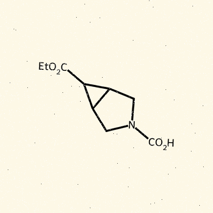 CCOC(=O)C1C2CN(C(=O)O)CC21